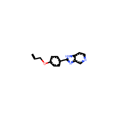 C=CCOc1ccc(-c2nc3cnccc3[nH]2)cc1